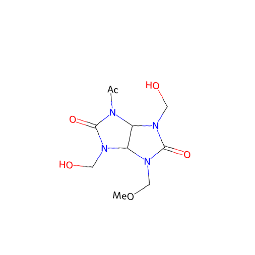 COCN1C(=O)N(CO)C2C1N(CO)C(=O)N2C(C)=O